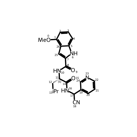 COc1cccc2[nH]c(C(=O)N[C@@H](CC(C)C)C(=O)NC(C#N)c3cccnc3)cc12